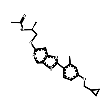 CC(=O)N[C@@H](C)COc1cc2oc(-c3ccc(OCC4CC4)cc3C)nc2cn1